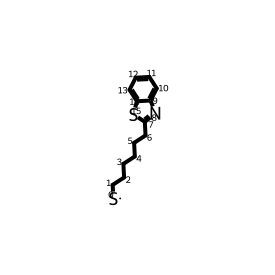 [S]CCCCCCc1nc2ccccc2s1